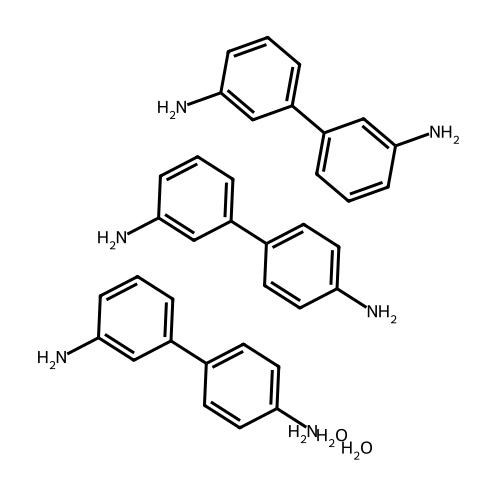 Nc1ccc(-c2cccc(N)c2)cc1.Nc1ccc(-c2cccc(N)c2)cc1.Nc1cccc(-c2cccc(N)c2)c1.O.O